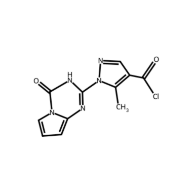 Cc1c(C(=O)Cl)cnn1-c1nc2cccn2c(=O)[nH]1